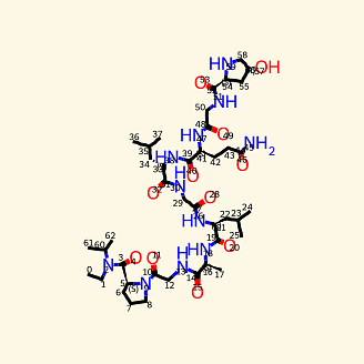 CCN(C(=O)[C@@H]1CCCN1C(=O)CNC(=O)[C@H](C)NC(=O)[C@H](CC(C)C)NC(=O)CNC(=O)[C@H](CC(C)C)NC(=O)[C@H](CCC(N)=O)NC(=O)CNC(=O)[C@@H]1C[C@@H](O)CN1)C(C)C